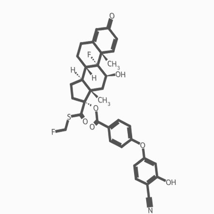 C[C@]12C=CC(=O)C=C1CC[C@H]1[C@@H]3CC[C@](OC(=O)c4ccc(Oc5ccc(C#N)c(O)c5)cc4)(C(=O)SCF)[C@@]3(C)C[C@H](O)[C@@]12F